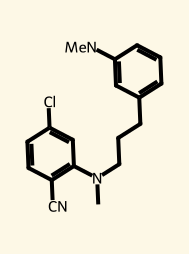 CNc1cccc(CCCN(C)c2cc(Cl)ccc2C#N)c1